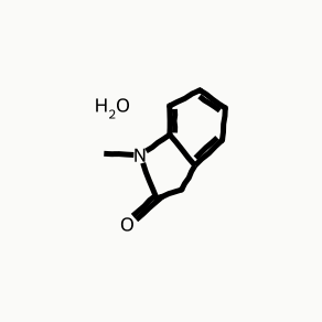 CN1C(=O)Cc2ccccc21.O